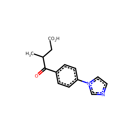 CC(CC(=O)O)C(=O)c1ccc(-n2ccnc2)cc1